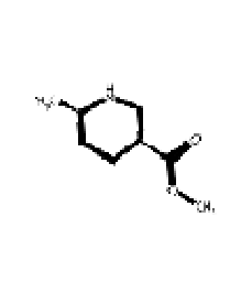 COC(=O)[C@H]1CC[C@@H](C)NC1